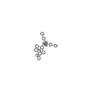 c1ccc(-c2ccc(-c3nc(-c4ccc(-c5ccccc5)cc4)nc(-c4cc(-c5ccccc5)c(-n5c6ccccc6c6c7oc8ccccc8c7ccc65)c(-c5ccccc5)c4)n3)cc2)cc1